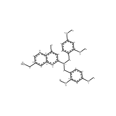 COc1ccc(CN(Cc2ccc(OC)cc2OC)c2cc(C)c3ncc(CO)cc3n2)c(OC)c1